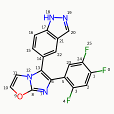 Fc1cc(F)c(-c2nc3occn3c2-c2ccc3[nH]ncc3c2)cc1F